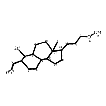 CCC1C(CS)CCC2C1CCC1(C)C(CCCOO)CCC21